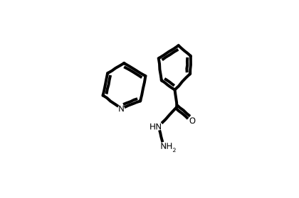 NNC(=O)c1ccccc1.c1ccncc1